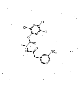 C[C@H](NC(=O)Cc1cccc([N+](=O)[O-])c1)C(=O)Oc1cc(Cl)c(Cl)cc1Cl